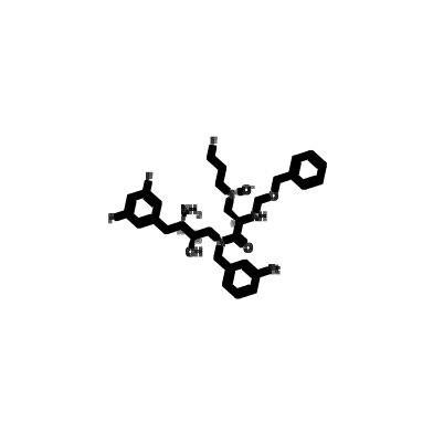 CCc1cccc(CN(C[C@@H](O)[C@@H](N)Cc2cc(F)cc(F)c2)C(=O)[C@@H](C[S+]([O-])CCCF)NCOCc2ccccc2)c1